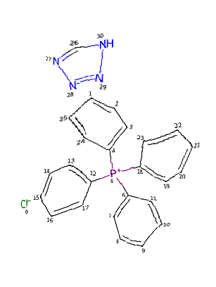 [Cl-].c1ccc([P+](c2ccccc2)(c2ccccc2)c2ccccc2)cc1.c1nnn[nH]1